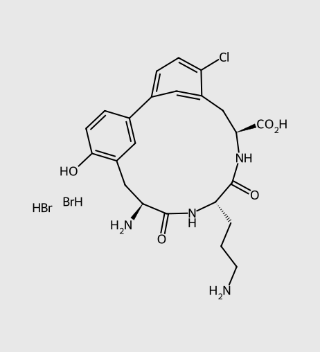 Br.Br.NCCC[C@@H]1NC(=O)[C@@H](N)Cc2cc(ccc2O)-c2ccc(Cl)c(c2)C[C@@H](C(=O)O)NC1=O